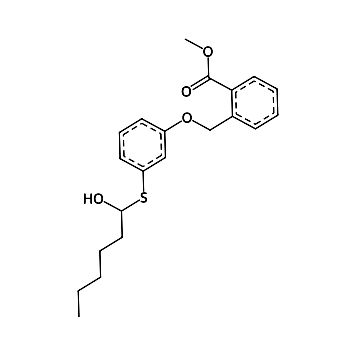 CCCCCC(O)Sc1cccc(OCc2ccccc2C(=O)OC)c1